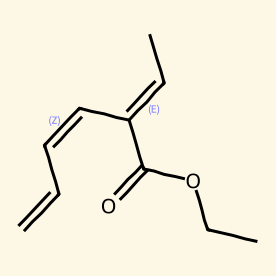 C=C/C=C\C(=C/C)C(=O)OCC